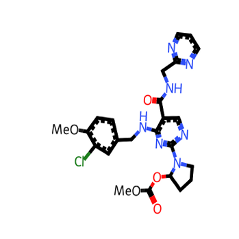 COC(=O)OC1CCCN1c1ncc(C(=O)NCc2ncccn2)c(NCc2ccc(OC)c(Cl)c2)n1